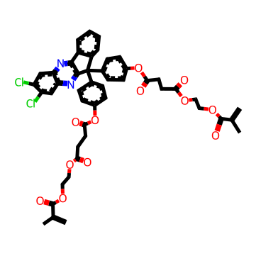 C=C(C)C(=O)OCCOC(=O)CCC(=O)Oc1ccc(C2(c3ccc(OC(=O)CCC(=O)OCCOC(=O)C(=C)C)cc3)c3ccccc3-c3nc4cc(Cl)c(Cl)cc4nc32)cc1